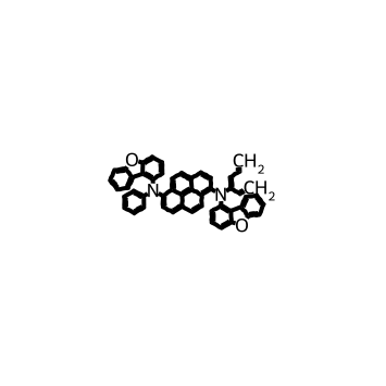 C=C/C=C(\C=C)N(c1ccc2ccc3c(N(c4ccccc4)c4cccc5oc6ccccc6c45)ccc4ccc1c2c43)c1cccc2oc3ccccc3c12